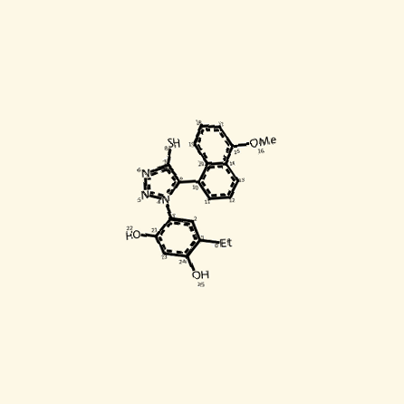 CCc1cc(-n2nnc(S)c2-c2cccc3c(OC)cccc23)c(O)cc1O